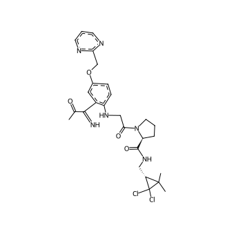 CC(=O)C(=N)c1cc(OCc2ncccn2)ccc1NCC(=O)N1CCC[C@H]1C(=O)NC[C@@H]1C(C)(C)C1(Cl)Cl